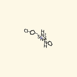 N/C(=N\C(=S)Nc1ccccc1)SCc1ccc(Cl)cc1